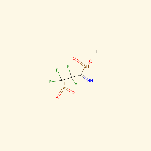 N=C([SH](=O)=O)C(F)(F)C(F)(F)[SH](=O)=O.[LiH]